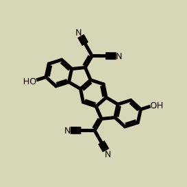 N#CC(C#N)=C1c2ccc(O)cc2-c2cc3c(cc21)-c1cc(O)ccc1C3=C(C#N)C#N